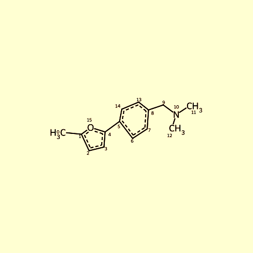 Cc1ccc(-c2ccc(CN(C)C)cc2)o1